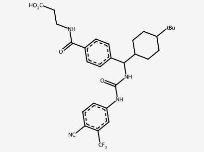 CC(C)(C)C1CCC(C(NC(=O)Nc2ccc(C#N)c(C(F)(F)F)c2)c2ccc(C(=O)NCCC(=O)O)cc2)CC1